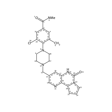 CNC(=O)c1cc(C)c(N2CCN(Cc3cnc4c(c3)[nH]c(=O)n3cccc43)CC2)c(Cl)c1